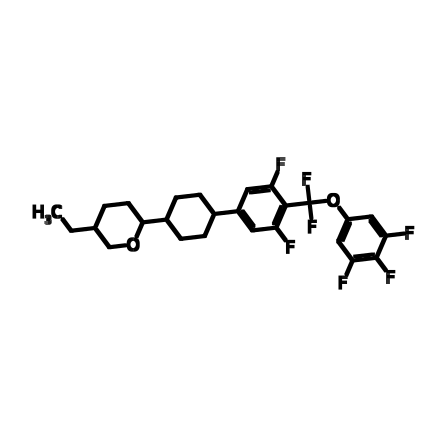 CCC1CCC(C2CCC(c3cc(F)c(C(F)(F)Oc4cc(F)c(F)c(F)c4)c(F)c3)CC2)OC1